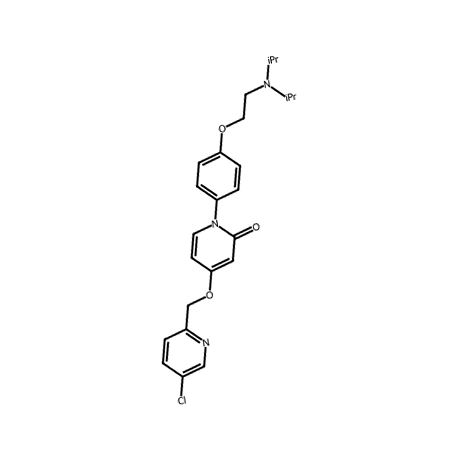 CC(C)N(CCOc1ccc(-n2ccc(OCc3ccc(Cl)cn3)cc2=O)cc1)C(C)C